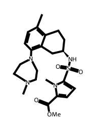 COC(=O)c1ccc(S(=O)(=O)N[C@@H]2CCc3c(C)ccc(N4CCN(C)CC4)c3C2)n1C